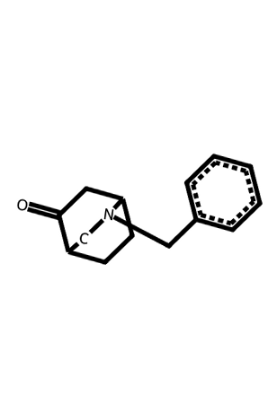 O=C1CC2CCC1CN2Cc1ccccc1